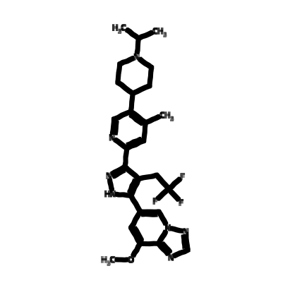 COc1cc(-c2[nH]nc(-c3cc(C)c(C4CCN(C(C)C)CC4)cn3)c2CC(F)(F)F)cn2ncnc12